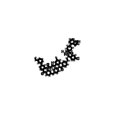 CCc1cccc(-c2cnc(C(=O)N3CCC(CN4CCN(CC(=O)N5CCN(CC[C@H](NC(=O)C6(N)CCN(c7ncnc8[nH]ccc78)CC6)c6ccc(Cl)cc6)CC5)CC4)CC3)c(NC(=O)CNCc3cccc(C)c3)c2)c1